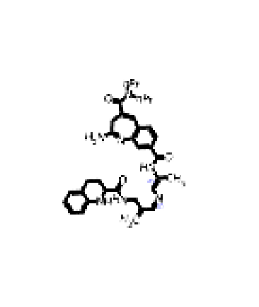 C=C(/C=N\C=C(/C)NC(=O)c1ccc2c(c1)N=C(N)CC(C(=O)N(CCC)CCC)=C2)CNC(=O)C1CCc2ccccc2N1